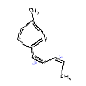 C/C=C\C=C/c1ccc(C)cn1